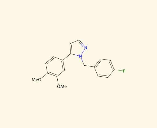 COc1ccc(-c2ccnn2Cc2ccc(F)cc2)cc1OC